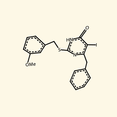 COc1cccc(CSc2nc(Cc3ccccc3)c(I)c(=O)[nH]2)c1